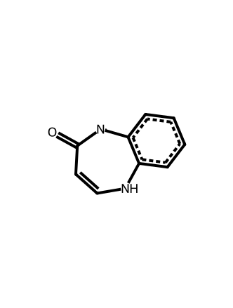 O=C1C=CNc2ccccc2[N]1